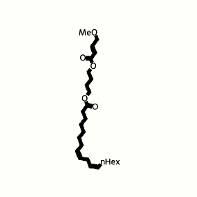 CCCCCC/C=C\C/C=C\CCCCCCC(=O)OCCCCOC(=O)/C=C/COC